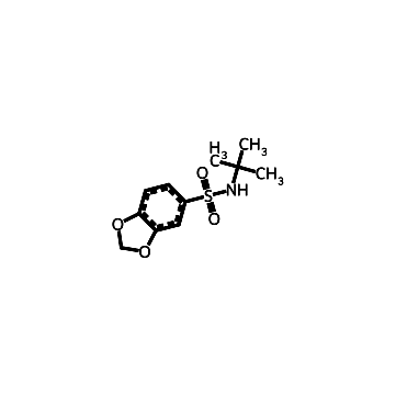 CC(C)(C)NS(=O)(=O)c1ccc2c(c1)OCO2